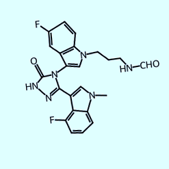 Cn1cc(-c2n[nH]c(=O)n2-c2cn(CCCNC=O)c3ccc(F)cc23)c2c(F)cccc21